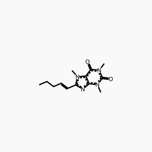 CCCC=Cc1nc2c(c(=O)n(C)c(=O)n2C)n1C